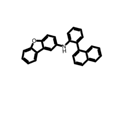 c1ccc(-c2cccc3ccccc23)c(Nc2ccc3oc4ccccc4c3c2)c1